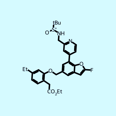 CCOC(=O)Cc1ccc(CC)cc1OCc1cc(-c2ccnc(CN[S+]([O-])C(C)(C)C)c2)c2oc(F)cc2c1